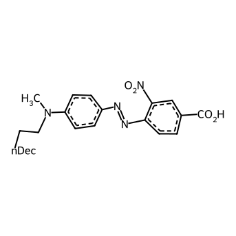 CCCCCCCCCCCCN(C)c1ccc(/N=N/c2ccc(C(=O)O)cc2[N+](=O)[O-])cc1